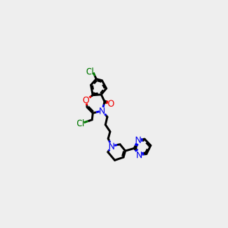 O=C1c2ccc(Cl)cc2OC=C(CCl)N1CCCCN1CCC=C(c2ncccn2)C1